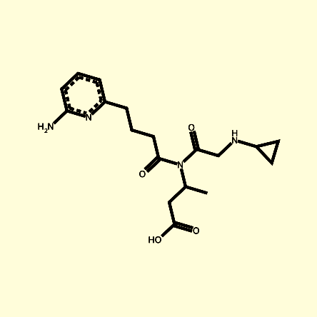 CC(CC(=O)O)N(C(=O)CCCc1cccc(N)n1)C(=O)CNC1CC1